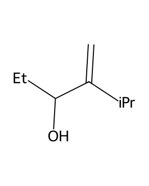 C=C(C(C)C)C(O)CC